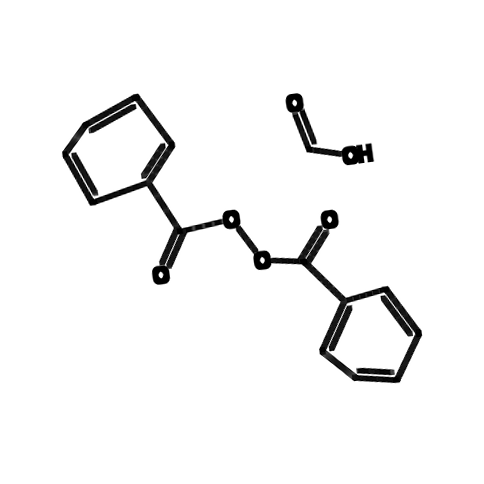 O=C(OOC(=O)c1ccccc1)c1ccccc1.O=CO